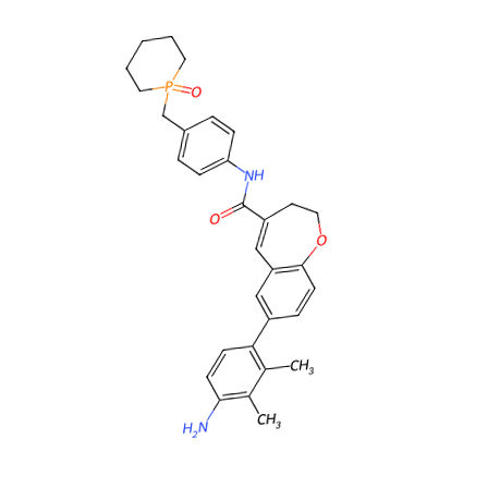 Cc1c(N)ccc(-c2ccc3c(c2)C=C(C(=O)Nc2ccc(CP4(=O)CCCCC4)cc2)CCO3)c1C